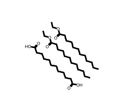 CCCCCCCCCCCC(=O)OCC.CCCCCCCCCCCC(=O)OCC.O=C(O)CCCCCCCCCCC(=O)O